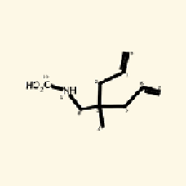 C=CCC(C)(CC=C)CNC(=O)O